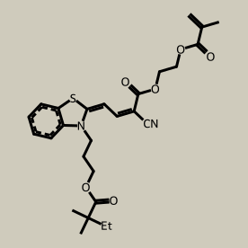 C=C(C)C(=O)OCCOC(=O)/C(C#N)=C\C=C1\Sc2ccccc2N1CCCOC(=O)C(C)(C)CC